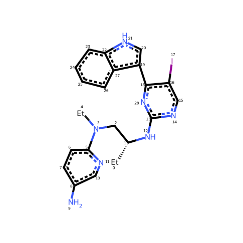 CC[C@H](CN(CC)c1ccc(N)cn1)Nc1ncc(I)c(-c2c[nH]c3ccccc23)n1